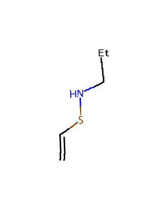 C=CSNCCC